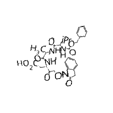 CC(NC(=O)C(NC(=O)OCc1ccccc1)C(C)C)C(=O)NC(CC(=O)O)C(=O)CON1C(=O)Cc2ccccc21